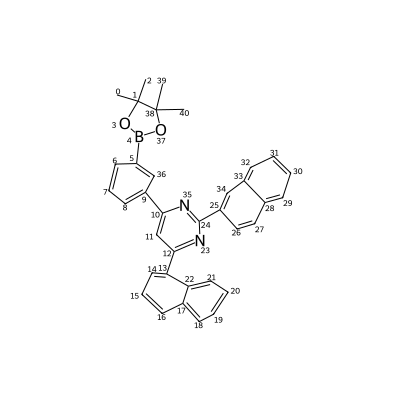 CC1(C)OB(c2cccc(-c3cc(-c4cccc5ccccc45)nc(-c4ccc5ccccc5c4)n3)c2)OC1(C)C